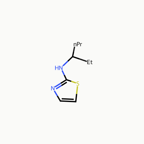 CCCC(CC)Nc1nccs1